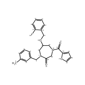 Cc1cccc(CN2CC(OCc3ccccc3F)CN(C(=O)c3ccco3)CC2=O)c1